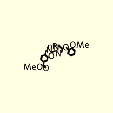 CCCN(Cc1ccc(C(=O)OC)cc1)C(=O)c1ncc(Oc2ccccc2OC)cn1